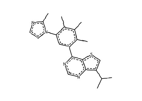 Cc1c(-c2ncnc3c(C(C)C)csc23)cc(-n2ccnc2C)c(C)c1C